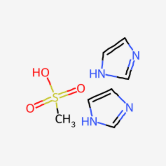 CS(=O)(=O)O.c1c[nH]cn1.c1c[nH]cn1